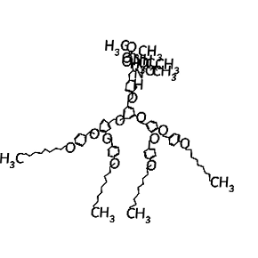 CCCCCCCCCCOc1ccc(COc2ccc(COc3cc(COc4ccc(CC(NC(=O)OC(C)(C)C)C(=O)NC(C)C(=O)OC)cc4)cc(OCc4ccc(OCc5ccc(OCCCCCCCCCC)cc5)c(OCc5ccc(OCCCCCCCCCC)cc5)c4)c3)cc2OCc2ccc(OCCCCCCCCCC)cc2)cc1